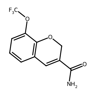 NC(=O)C1=Cc2cccc(OC(F)(F)F)c2OC1